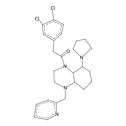 O=C(Cc1ccc(Cl)c(Cl)c1)N1CCN(Cc2ccccn2)C2CCCC(N3CCCC3)C21